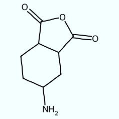 NC1CCC2C(=O)OC(=O)C2C1